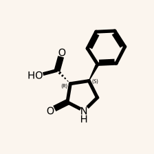 O=C(O)[C@H]1C(=O)NC[C@@H]1c1ccccc1